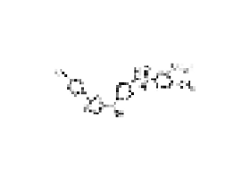 Cc1ccc(S(=O)(=O)Nc2ccc(C(S)c3cnc(-c4ccc(Cl)cc4)s3)cc2)cc1C(=O)O